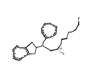 C[C@@H](CCCCF)CN(c1ccccc1)C1Cc2ccccc2C1